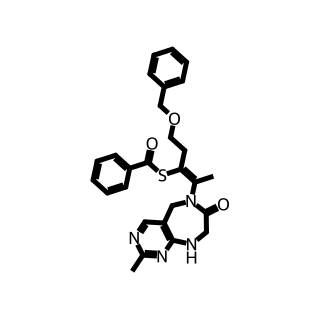 C/C(=C(\CCOCc1ccccc1)SC(=O)c1ccccc1)N1Cc2cnc(C)nc2NCC1=O